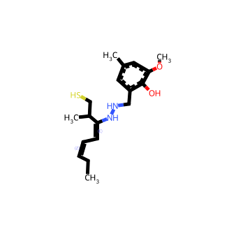 CC/C=C\C=C(\NNCc1cc(C)cc(OC)c1O)C(C)CS